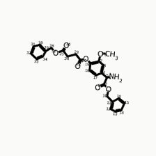 COc1cc(C(N)C(=O)OCc2ccccc2)ccc1OC(=O)CCC(=O)OCc1ccccc1